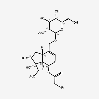 CC(=O)OC[C@]1(O)[C@H]2[C@H](OC(=O)CC(C)C)OC=C(CO[C@@H]3O[C@H](CO)[C@@H](O)[C@H](O)[C@H]3OC(C)=O)[C@H]2C[C@@H]1O